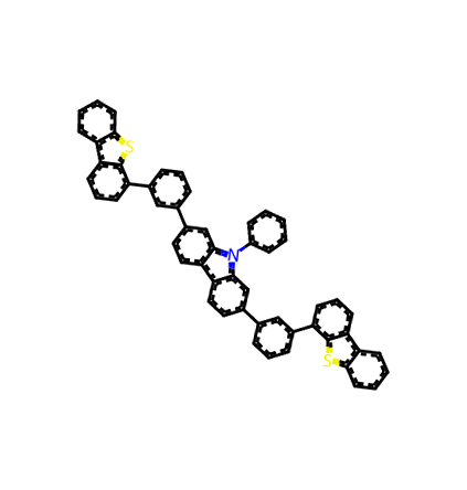 c1ccc(-n2c3cc(-c4cccc(-c5cccc6c5sc5ccccc56)c4)ccc3c3ccc(-c4cccc(-c5cccc6c5sc5ccccc56)c4)cc32)cc1